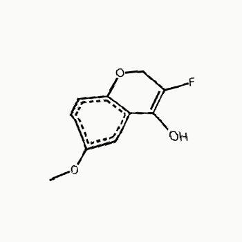 COc1ccc2c(c1)C(O)=C(F)CO2